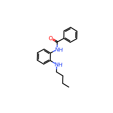 CCCCNc1ccccc1NC(=O)c1ccccc1